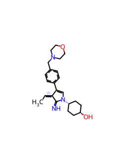 C/C=C1\C(=N)N([C@H]2CC[C@H](O)CC2)C=C1c1ccc(CN2CCOCC2)cc1